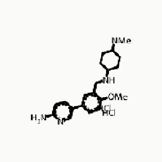 CNC1CCC(NCc2cc(-c3ccc(N)nc3)ccc2OC)CC1.Cl.Cl